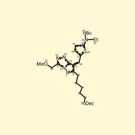 CCCCCCCCCCCCCCCc1nn2c(COC)nnc2/c1=C\c1ccc(N(CC)CCCC)s1